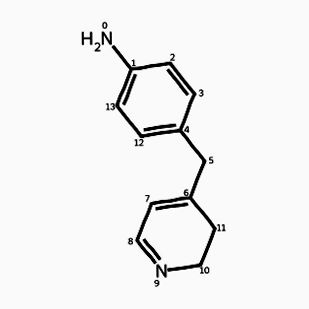 Nc1ccc(CC2=CC=NCC2)cc1